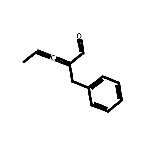 CC=C=C(C=O)Cc1ccccc1